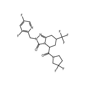 O=C(C1CC(C(F)(F)F)Cc2nn(Cc3ncc(F)cc3F)c(=O)n21)N1CCC(F)(F)C1